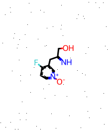 N=C(CO)Cc1c[n+]([O-])ccc1F